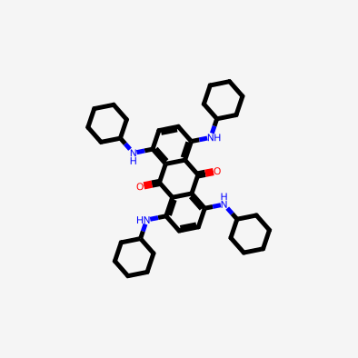 O=C1c2c(NC3CCCCC3)ccc(NC3CCCCC3)c2C(=O)c2c(NC3CCCCC3)ccc(NC3CCCCC3)c21